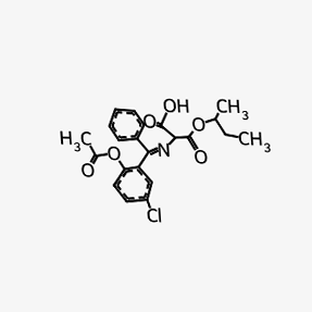 CCC(C)OC(=O)C(N=C(c1ccccc1)c1cc(Cl)ccc1OC(C)=O)C(=O)O